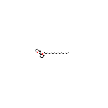 CCCCCCCCCCCCCCCC(=O)O[C@H]1CN2[C@@H]3CC[C@H]2[C@H]1[C@H](c1ccc(Cl)c(Cl)c1)C3